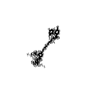 CC(=O)Nc1cc(NCCOCCOCCNCCCONC(=O)c2ccc(F)c(F)c2Nc2ccc(I)cc2F)ccc1C(=O)Nc1nc(C)c([N+](=O)[O-])s1